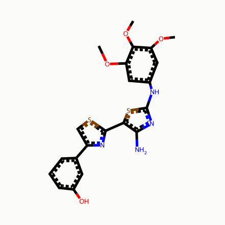 COc1cc(Nc2nc(N)c(-c3nc(-c4cccc(O)c4)cs3)s2)cc(OC)c1OC